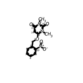 Cn1c(OCc2ccccc2[N+](=O)[O-])cc(=O)n(C)c1=O